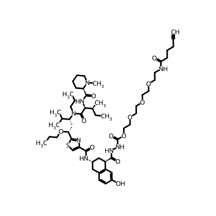 C#CCCCC(=O)NCCOCCOCCOCCOC(=O)NNC(=O)[C@@H]1C[C@@H](NC(=O)c2csc([C@@H](C[C@H](C(C)C)N(CCC)C(=O)[C@@H](NC(=O)[C@H]3CCCCN3C)[C@@H](C)CC)OCCC)n2)Cc2ccc(O)cc21